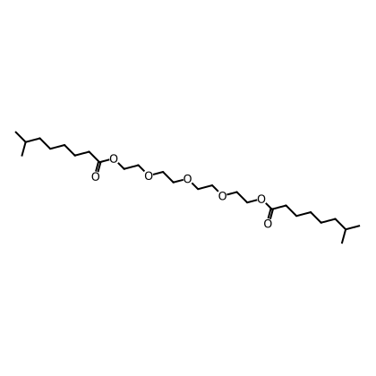 CC(C)CCCCCC(=O)OCCOCCOCCOCCOC(=O)CCCCCC(C)C